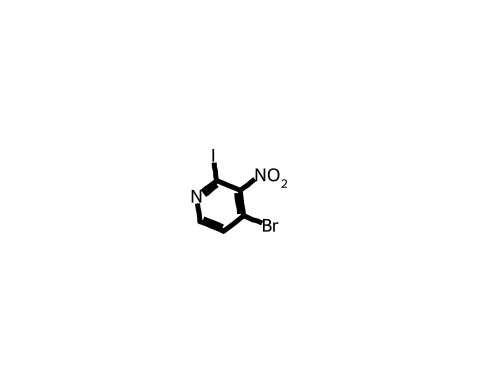 O=[N+]([O-])c1c(Br)ccnc1I